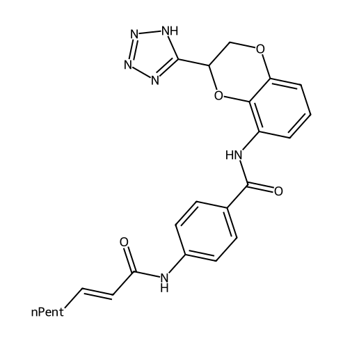 CCCCCC=CC(=O)Nc1ccc(C(=O)Nc2cccc3c2OC(c2nnn[nH]2)CO3)cc1